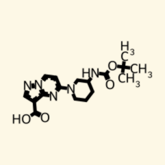 CC(C)(C)OC(=O)NC1CCCN(c2ccn3ncc(C(=O)O)c3n2)C1